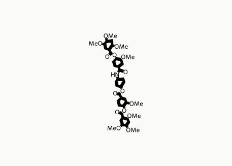 COc1cc(OC)c(C(=O)Oc2ccc(C(=O)Nc3ccc(OC(=O)c4ccc(OC(=O)c5cc(OC)c(OC)cc5OC)c(OC)c4)cc3)cc2OC)cc1OC